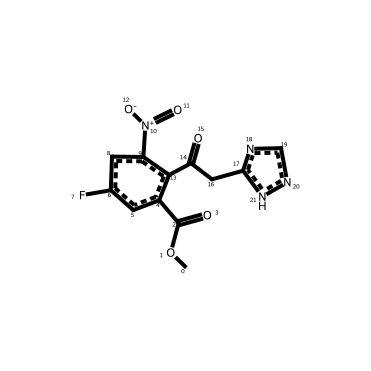 COC(=O)c1cc(F)cc([N+](=O)[O-])c1C(=O)Cc1ncn[nH]1